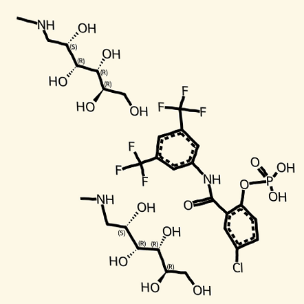 CNC[C@H](O)[C@@H](O)[C@H](O)[C@H](O)CO.CNC[C@H](O)[C@@H](O)[C@H](O)[C@H](O)CO.O=C(Nc1cc(C(F)(F)F)cc(C(F)(F)F)c1)c1cc(Cl)ccc1OP(=O)(O)O